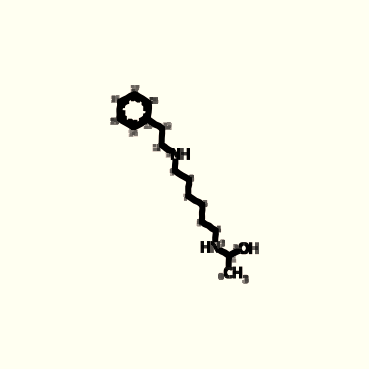 CC(O)NCCCCCCNCCc1ccccc1